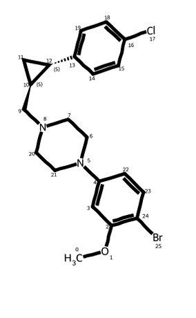 COc1cc(N2CCN(C[C@H]3C[C@@H]3c3ccc(Cl)cc3)CC2)ccc1Br